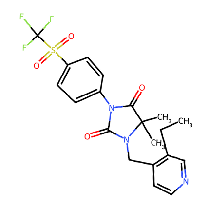 CCc1cnccc1CN1C(=O)N(c2ccc(S(=O)(=O)C(F)(F)F)cc2)C(=O)C1(C)C